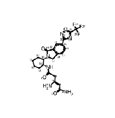 NC(=O)/C=C(\N)CC(=O)N[C@@H]1CCCC[C@H]1N1Cc2ccc(-c3noc(C(F)(F)F)n3)cc2C1=O